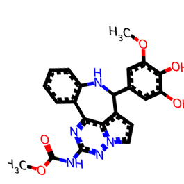 COC(=O)Nc1nc2c3c(ccn3n1)C(c1cc(O)c(O)c(OC)c1)Nc1ccccc1-2